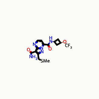 CSCc1nn2c(C(=O)N[C@H]3C[C@@H](OC(F)(F)F)C3)ccnc2c1C(N)=O